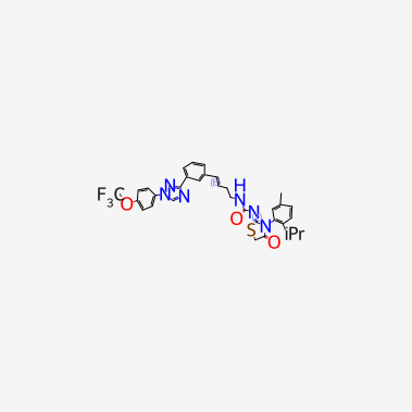 Cc1ccc(C(C)C)c(N2C(=O)CS/C2=N\C(=O)NCC/C=C/c2cccc(-c3ncn(-c4ccc(OC(F)(F)F)cc4)n3)c2)c1